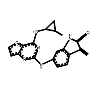 C=C1C(=O)Nc2cc(Nc3nc(NC4CC4C)c4occc4n3)ccc21